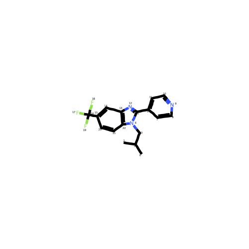 CC(C)Cn1c(-c2ccncc2)nc2cc(C(F)(F)F)ccc21